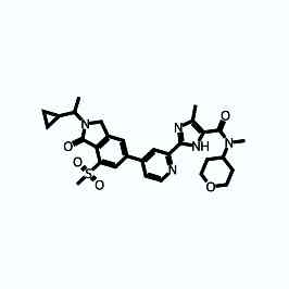 Cc1nc(-c2cc(-c3cc4c(c(S(C)(=O)=O)c3)C(=O)N(C(C)C3CC3)C4)ccn2)[nH]c1C(=O)N(C)C1CCOCC1